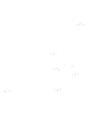 CCCCCCCCCCCCCCCC(O)C(CO)NC(=O)C(O)CCCCCCCCCCCCCC